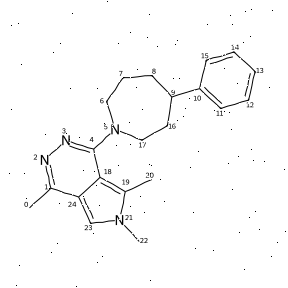 Cc1nnc(N2CCCC(c3ccccc3)CC2)c2c(C)n(C)cc12